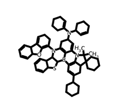 CC1(C)N2C3=CC(N(C4=CCCCC4)C4C=CCCC4)CC4=C3B(C3=C2C(CC(C2CCCCC2)=C3)C12CCCCC2)C1SC2C=CC=CC2C1N4C1=C2OC3C=CC=CC3C2=CCC1